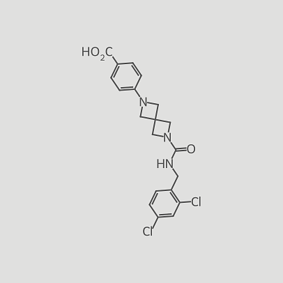 O=C(O)c1ccc(N2CC3(CN(C(=O)NCc4ccc(Cl)cc4Cl)C3)C2)cc1